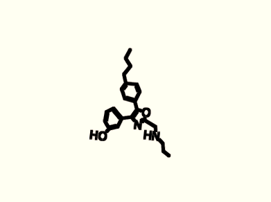 CCCCc1ccc(-c2oc(CNCCC)nc2-c2cccc(O)c2)cc1